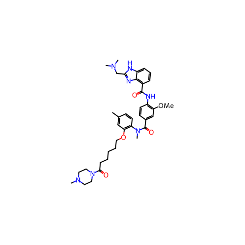 COc1cc(C(=O)N(C)c2ccc(C)cc2OCCCCCC(=O)N2CCN(C)CC2)ccc1NC(=O)c1cccc2[nH]c(CN(C)C)nc12